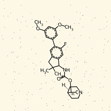 COc1cc(OC)cc(-c2cc3c(cc2F)C(NC(=O)O[C@H]2CN4CCC2CC4)C(C)(C)C3)c1